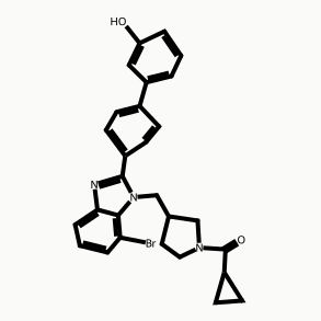 O=C(C1CC1)N1CCC(Cn2c(-c3ccc(-c4cccc(O)c4)cc3)nc3cccc(Br)c32)C1